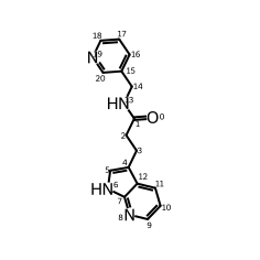 O=C(CCc1c[nH]c2ncccc12)NCc1cccnc1